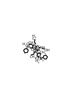 CCCCN(c1nc(NCCO)nc(N(CCCC)C2CC(C)(C)N(OC3CCCCC3)CC2(C)C)n1)C1CC(C)(C)N(OC2CCCCC2)CC1(C)C